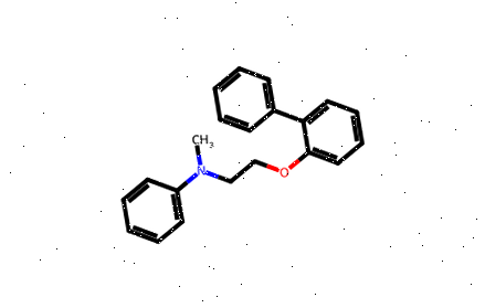 CN(CCOc1ccccc1-c1ccccc1)c1ccccc1